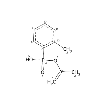 C=C(C)OP(=O)(O)c1ccccc1C